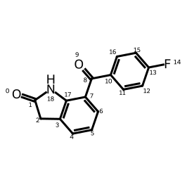 O=C1Cc2cccc(C(=O)c3ccc(F)cc3)c2N1